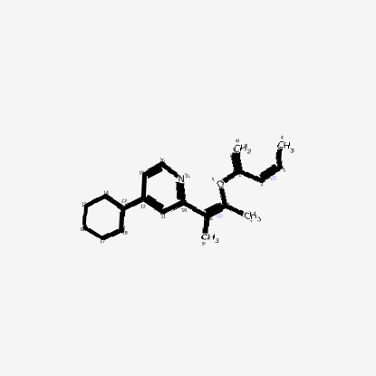 C=C(/C=C\C)O/C(C)=C(/C)c1cc(C2CCCCC2)ccn1